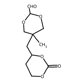 CC1(CC2CCOC(=O)O2)COC(C=O)OC1